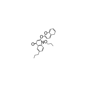 CCCOn1c(OC2=CC=C3CC=CC=C3O2)cc(=O)c2cc(CCC)ccc21